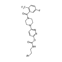 CC(C)CCNC(=O)Oc1ccc(N2CCN(C(=O)c3cc(F)ccc3C(F)(F)F)CC2)nn1